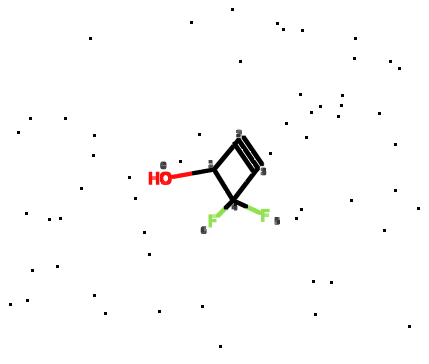 OC1C#CC1(F)F